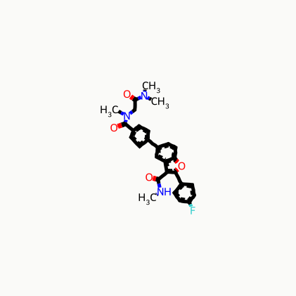 CNC(=O)c1c(-c2ccc(F)cc2)oc2ccc(-c3ccc(C(=O)N(C)CC(=O)N(C)C)cc3)cc12